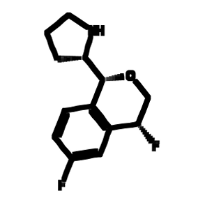 Fc1ccc2c(c1)[C@@H](F)CO[C@H]2[C@@H]1CCCN1